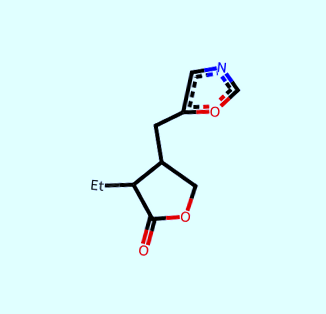 CCC1C(=O)OCC1Cc1cnco1